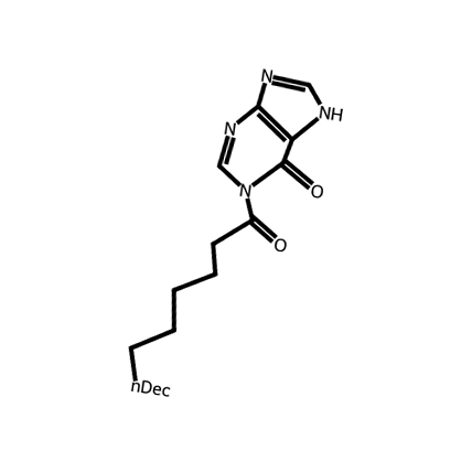 CCCCCCCCCCCCCCCC(=O)n1cnc2nc[nH]c2c1=O